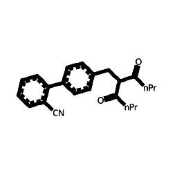 CCCC(=O)C(Cc1ccc(-c2ccccc2C#N)cc1)C(=O)CCC